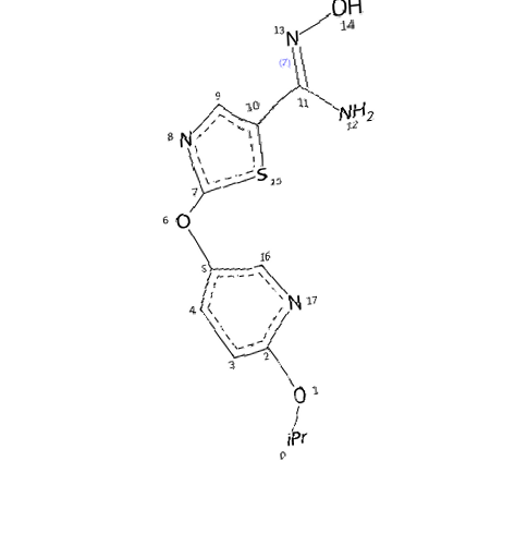 CC(C)Oc1ccc(Oc2ncc(/C(N)=N/O)s2)cn1